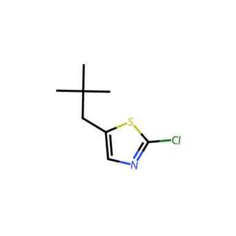 CC(C)(C)Cc1cnc(Cl)s1